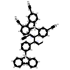 C#C/C=C(\C(=C/C)c1cccc(-n2c3ccccc3c3ccccc32)c1)c1ccc(C#N)cc1-n1c2ccc(C#N)cc2c2c(C#N)cccc21